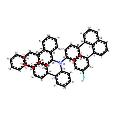 Fc1cccc(-c2cccc3cccc(-c4ccc(N(c5ccccc5-c5ccc(-c6ccccc6)cc5)c5cc6ccccc6c6ccccc56)cc4)c23)c1